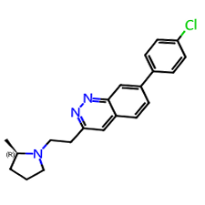 C[C@@H]1CCCN1CCc1cc2ccc(-c3ccc(Cl)cc3)cc2nn1